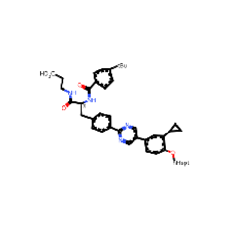 CCCCCCCOc1ccc(-c2cnc(-c3ccc(C[C@H](NC(=O)c4ccc(C(C)(C)C)cc4)C(=O)NCCC(=O)O)cc3)nc2)cc1C1CC1